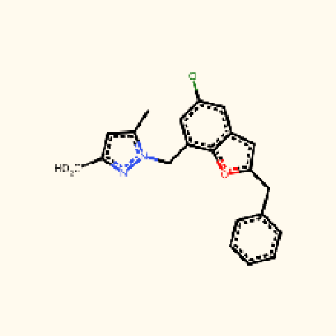 Cc1cc(C(=O)O)nn1Cc1cc(Cl)cc2cc(Cc3ccccc3)oc12